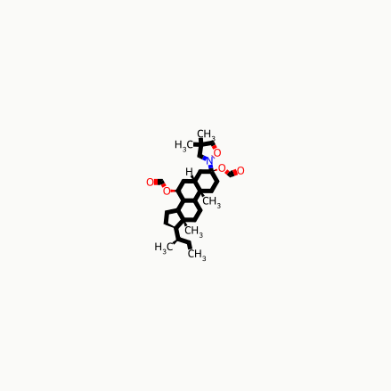 CC[C@@H](C)[C@H]1CCC2C3C(CC[C@@]21C)[C@@]1(C)CC[C@](OC=O)(N2CC(C)(C)CO2)C[C@H]1C[C@@H]3OC=O